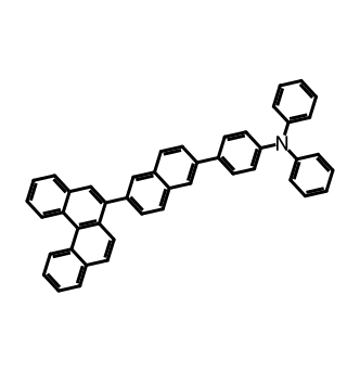 c1ccc(N(c2ccccc2)c2ccc(-c3ccc4cc(-c5cc6ccccc6c6c5ccc5ccccc56)ccc4c3)cc2)cc1